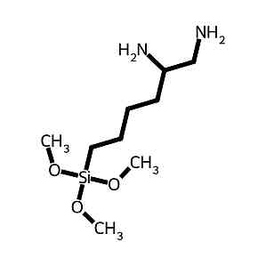 CO[Si](CCCCC(N)CN)(OC)OC